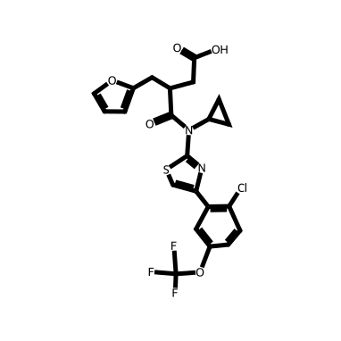 O=C(O)CC(Cc1ccco1)C(=O)N(c1nc(-c2cc(OC(F)(F)F)ccc2Cl)cs1)C1CC1